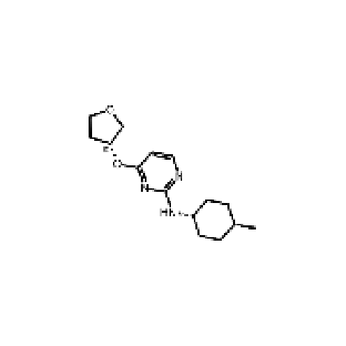 C[C@H]1CC[C@H](Nc2nccc(O[C@@H]3CCOC3)n2)CC1